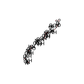 Cn1cc(NC(=O)c2nc(NC(=O)CCNC(=O)c3cc(NC(=O)c4nccn4C)cn3C)cn2C)cc1C(=O)NCCCC(=O)Nc1cn(C)c(C(=O)NCCC(=O)Nc2cc(C(=O)Nc3cn(C)c(C(=O)NCCC(=O)Nc4ccc(C#CC#CCN(CCOCCNC(=O)OC(C)(C)C)C(=O)OCC5c6ccccc6-c6ccccc65)cc4)n3)n(C)c2)n1